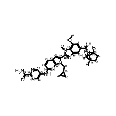 COc1cc(C(=O)N2C[C@H]3CC[C@@H]2[C@@H]3N)cc2nc(-c3cc4ccc(Nc5cnc(C(N)=O)nc5)nc4n3CC3CC3)n(C)c12